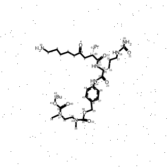 CC(C)[C@@H](CC(=O)CCCCCN)C(=O)N[C@H](CCCNC(N)=O)C(=O)Nc1ccc(COC(=O)N(C)CCN(C)C(=O)OC(C)(C)C)cc1